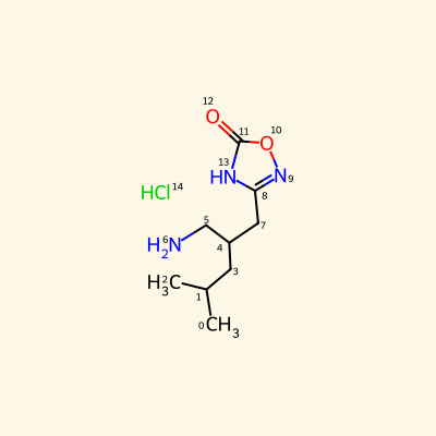 CC(C)CC(CN)Cc1noc(=O)[nH]1.Cl